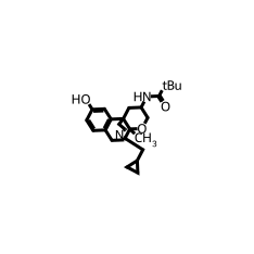 CC(C)(C)C(=O)NC1COC2(C)C3Cc4ccc(O)cc4C2(CCN3CC2CC2)C1